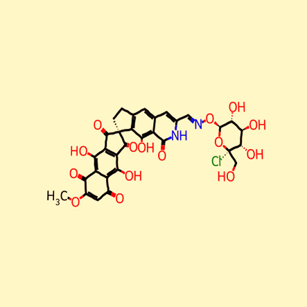 COC1=CC(=O)c2c(O)c3c(c(O)c2C1=O)C(=O)[C@]1(CCc2cc4cc(/C=N/O[C@@H]5O[C@](Cl)(CO)[C@@H](O)[C@H](O)[C@H]5O)[nH]c(=O)c4c(O)c21)C3=O